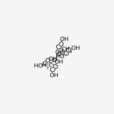 CC(c1ccc(-c2ccc(C(C)(c3c(O)ccc4cc(O)ccc34)c3c(O)ccc4cc(O)ccc34)cc2)cc1)(c1c(O)ccc2cc(O)ccc12)c1c(O)ccc2cc(O)ccc12